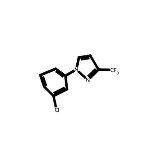 FC(F)(F)c1ccn(-c2cccc(Cl)c2)n1